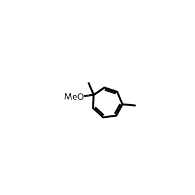 COC1(C)C=CC=C(C)C=C1